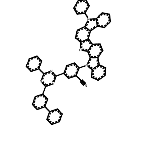 N#Cc1cc(-c2nc(-c3ccccc3)nc(-c3cccc(-c4ccccc4)c3)n2)ccc1-n1c2ccccc2c2ccc3c(oc4ccc5c(c6ccccc6n5-c5ccccc5)c43)c21